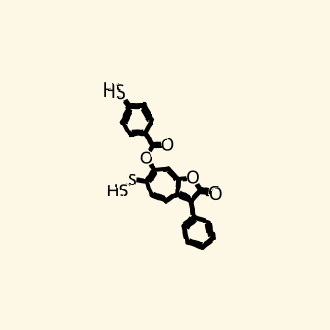 O=C(Oc1cc2oc(=O)c(-c3ccccc3)c-2ccc1SS)c1ccc(S)cc1